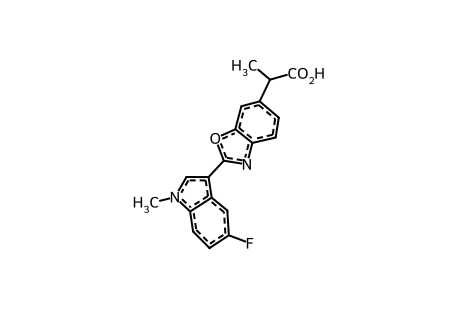 CC(C(=O)O)c1ccc2nc(-c3cn(C)c4ccc(F)cc34)oc2c1